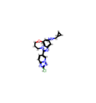 Clc1nc2ccc(-c3nc4cc(NCC5CC5)cc5c4n3CCCO5)cn2n1